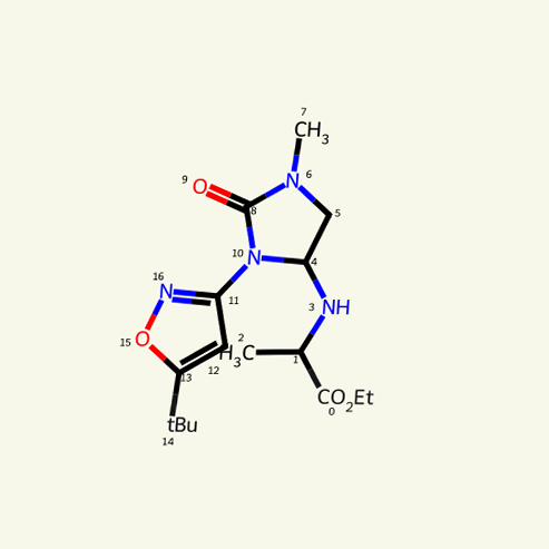 CCOC(=O)C(C)NC1CN(C)C(=O)N1c1cc(C(C)(C)C)on1